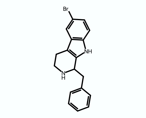 Brc1ccc2[nH]c3c(c2c1)CCNC3Cc1ccccc1